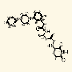 C=C(CNC1CCC(=O)NC1=O)CC(C)NC(=O)Cc1cccc(N2CCN(c3ccccn3)CC2)c1